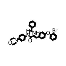 O=C(Nc1ccc(N2CCOCC2)cc1)C(=Cc1ccc(Oc2ccccc2Br)cc1)NC(=O)c1ccccc1